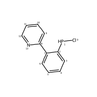 ClPc1ccccc1-c1ccccn1